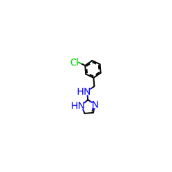 Clc1cccc(CNC2N=CCN2)c1